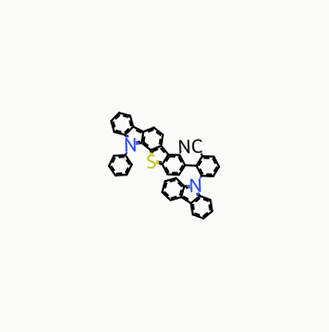 N#Cc1cccc(-n2c3ccccc3c3ccccc32)c1-c1ccc2sc3c(ccc4c5ccccc5n(-c5ccccc5)c43)c2c1